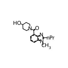 CCCc1nc2c(C(=O)N3CCC(O)CC3)cccc2n1C